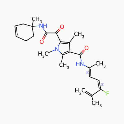 C=C(C)/C(F)=C\C=C(/C)NC(=O)c1c(C)c(C(=O)C(=O)NC2(C)CC=CCC2)n(C)c1C